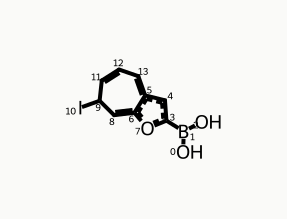 OB(O)c1cc2c(o1)=CC(I)C=CC=2